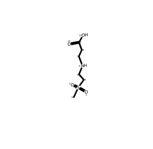 CS(=O)(=O)CCNCCC(=O)O